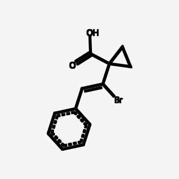 O=C(O)C1(C(Br)=Cc2ccccc2)CC1